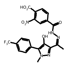 CC(=NNC(=O)c1ccc(C(=O)O)c([N+](=O)[O-])c1)c1nn(C)c(-c2ccc(C(F)(F)F)cc2)c1O